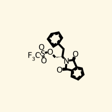 O=C1c2ccccc2C(=O)N1[C@H](COS(=O)(=O)C(F)(F)F)Cc1ccccc1